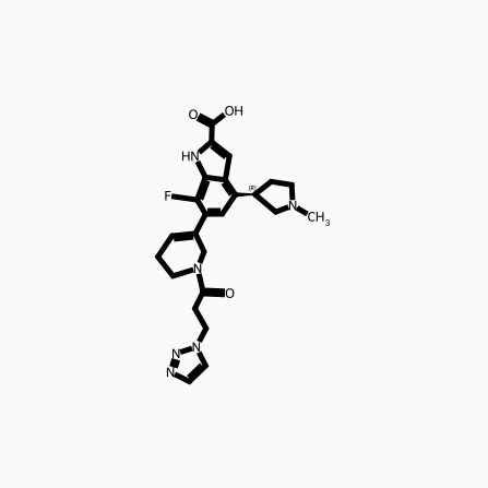 CN1CC[C@H](c2cc(C3=CCCN(C(=O)CCn4ccnn4)C3)c(F)c3[nH]c(C(=O)O)cc23)C1